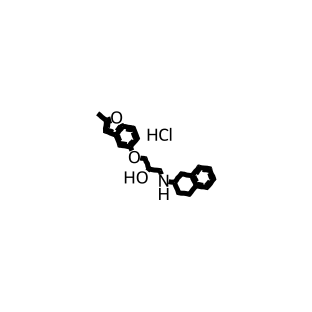 Cc1cc2cc(OCC(O)CNC3CCc4ccccc4C3)ccc2o1.Cl